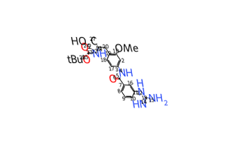 COc1cc(NC(=O)c2cccc(NC(=N)N)c2)ccc1C[C@H](NC(=O)OC(C)(C)C)C(=O)O